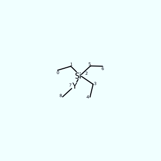 CC[Si](CC)(CC)[Y][CH3]